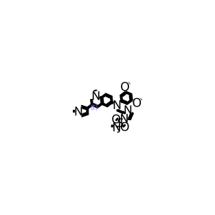 C=Nc1ccc(N(Cc2nccn2S(=O)(=O)N(C)C)c2cc(OC)cc(OC)c2)cc1/C=C(\C)c1ccn(C)c1